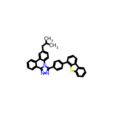 CC(C)Cc1ccc2c(c1)c1ccccc1c1nnc(-c3ccc(-c4cccc5c4sc4ccccc45)cc3)n21